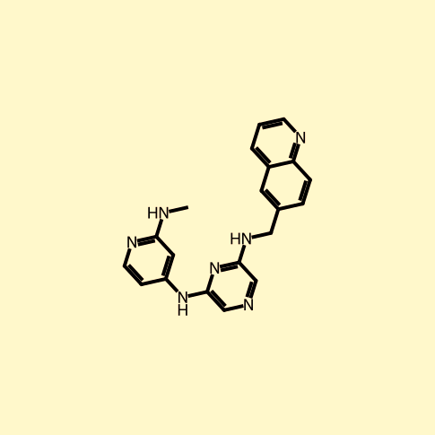 CNc1cc(Nc2cncc(NCc3ccc4ncccc4c3)n2)ccn1